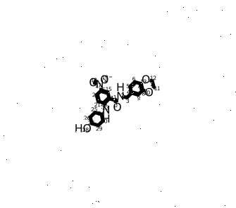 O=C(NCc1ccc2c(c1)OCCO2)c1cc([N+](=O)[O-])ccc1N[C@H]1CC[C@H](O)CC1